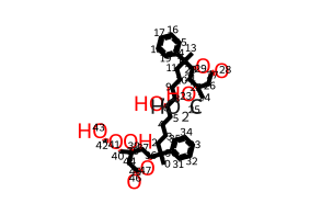 CC(CCCCC(O)CCCCC(C)(c1ccccc1)C1CC(O)(CC(=O)O)CC(=O)O1)(c1ccccc1)C1CC(O)(COCO)CC(=O)O1